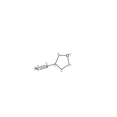 C#[Si]C1CCOC1